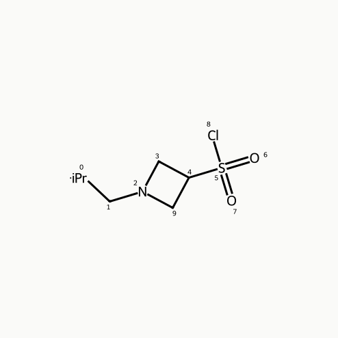 C[C](C)CN1CC(S(=O)(=O)Cl)C1